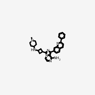 CN1CCC(NC2CC(c3nc(-c4ccc5ccc(-c6ccccc6)nc5c4)c4c(N)nccn34)C2)CC1